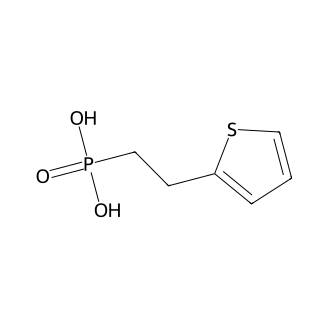 O=P(O)(O)CCc1cccs1